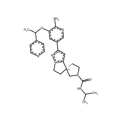 CC(C)NC(=O)N1CC[C@@]2(CCn3nc(-c4cnc(N)c(OC(C)c5ccncc5)c4)cc32)C1